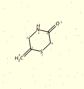 C=C1CNC(=O)CS1